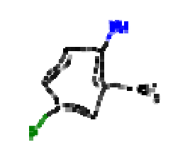 Cc1cc(F)ccc1[NH]